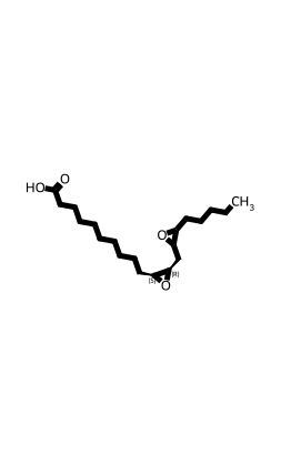 CCCCCC1OC1C[C@H]1O[C@H]1CCCCCCCCCC(=O)O